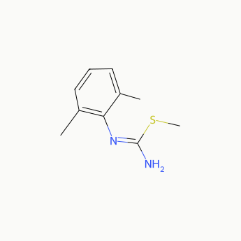 CS/C(N)=N\c1c(C)cccc1C